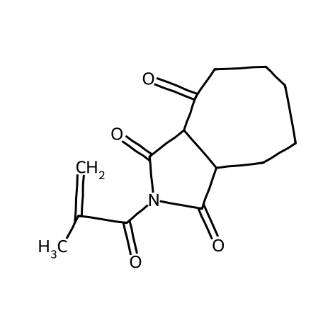 C=C(C)C(=O)N1C(=O)C2CCCCCC(=O)C2C1=O